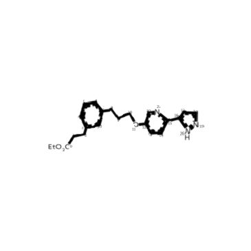 CCOC(=O)CCc1cccc(CCCOc2ccc(-c3ccn[nH]3)nc2)c1